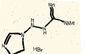 Br.CNC(=N)NNN1C=NCC1